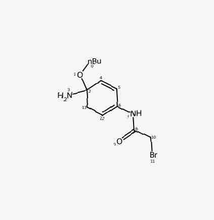 CCCCOC1(N)C=CC(NC(=O)CBr)=CC1